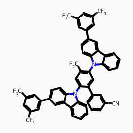 N#Cc1cccc(-c2cc(-n3c4ccccc4c4cc(-c5cc(C(F)(F)F)cc(C(F)(F)F)c5)ccc43)c(C(F)(F)F)cc2-n2c3ccccc3c3cc(-c4cc(C(F)(F)F)cc(C(F)(F)F)c4)ccc32)c1